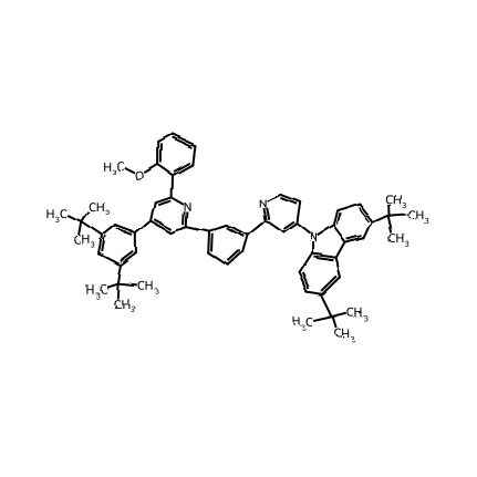 COc1ccccc1-c1cc(-c2cc(C(C)(C)C)cc(C(C)(C)C)c2)cc(-c2cccc(-c3cc(-n4c5ccc(C(C)(C)C)cc5c5cc(C(C)(C)C)ccc54)ccn3)c2)n1